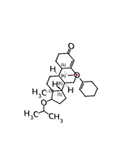 CC(C)OC1CC[C@H]2[C@@H]3CCC4=CC(=O)CC[C@]4(COC4=CCCCC4)[C@@H]3CC[C@]12C